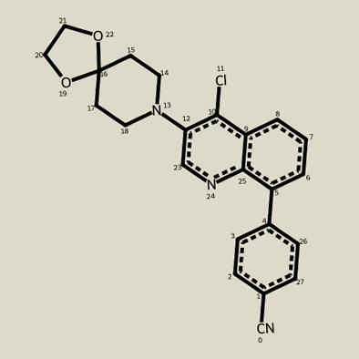 N#Cc1ccc(-c2cccc3c(Cl)c(N4CCC5(CC4)OCCO5)cnc23)cc1